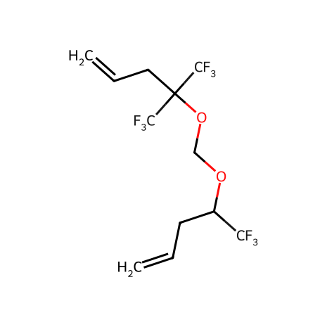 C=CCC(OCOC(CC=C)(C(F)(F)F)C(F)(F)F)C(F)(F)F